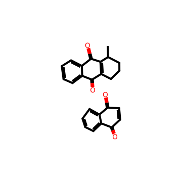 CC1CCCC2=C1C(=O)c1ccccc1C2=O.O=C1C=CC(=O)c2ccccc21